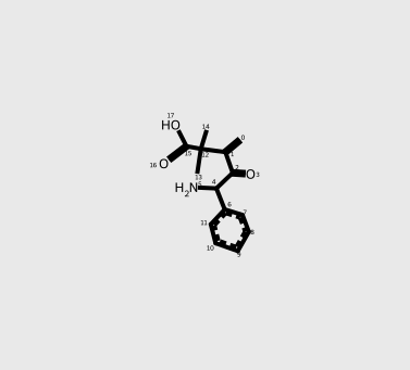 C=C(C(=O)C(N)c1ccccc1)C(C)(C)C(=O)O